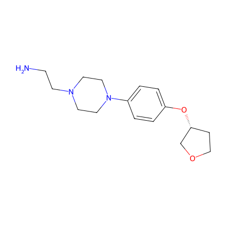 NCCN1CCN(c2ccc(O[C@@H]3CCOC3)cc2)CC1